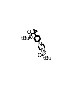 CC(C)(C)OC(=O)C1(c2ccc(N3CCN(OC(=O)C(C)(C)C)CC3)cc2)CC1